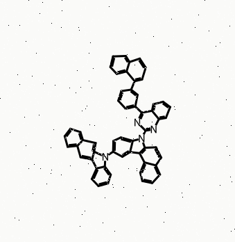 c1cc(-c2cccc3ccccc23)cc(-c2nc(-n3c4ccc(-n5c6ccccc6c6cc7ccccc7cc65)cc4c4c5ccccc5ccc43)nc3ccccc23)c1